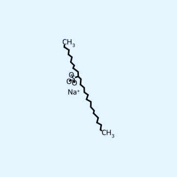 CCCCCCCCCCCCCCCC(CCCCCCCCC)S(=O)(=O)[O-].[Na+]